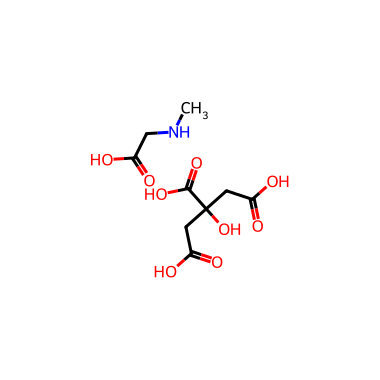 CNCC(=O)O.O=C(O)CC(O)(CC(=O)O)C(=O)O